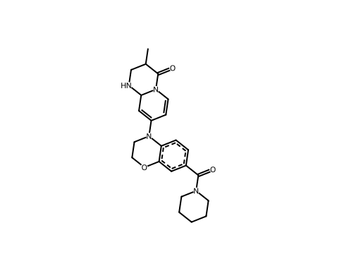 CC1CNC2C=C(N3CCOc4cc(C(=O)N5CCCCC5)ccc43)C=CN2C1=O